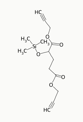 C#CCOC(=O)CCC(O[Si](C)(C)C)C(=O)OCC#C